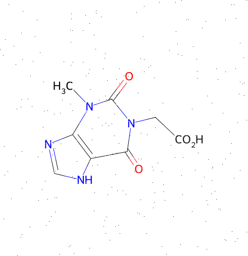 Cn1c(=O)n(CC(=O)O)c(=O)c2[nH]cnc21